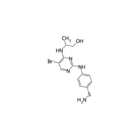 CC(CO)Nc1nc(Nc2ccc(SN)cc2)ncc1Br